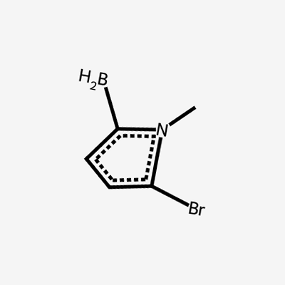 Bc1ccc(Br)n1C